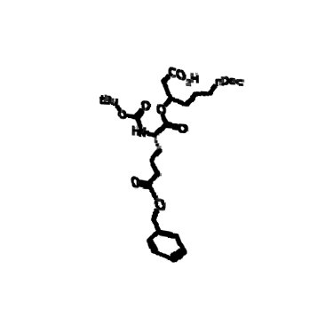 CCCCCCCCCCCCCC(CC(=O)O)OC(=O)[C@H](CCCC(=O)OCc1ccccc1)NC(=O)OC(C)(C)C